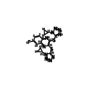 Fc1ccc2nc(Sc3nnnn3C3CC3)c(Sc3nnnn3C3CC3)nc2c1